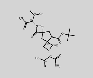 C[C@@H](O)[C@@H](C(N)=O)N1CC2(CN(C(=O)OC(C)(C)C)[C@@]3(CN([C@H](C(N)=O)[C@@H](C)O)C3=O)C2)C1=O